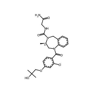 C[C@@H]1CN(C(=O)c2ccc(OCC(C)(C)O)cc2Cl)c2ccccc2CN1C(=O)NCC(N)=O